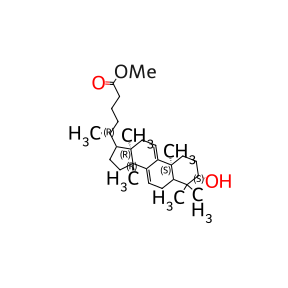 COC(=O)CCC[C@@H](C)C1CC[C@@]2(C)C3=CCC4C(C)(C)[C@@H](O)CC[C@]4(C)C3=CC[C@]12C